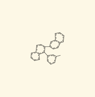 Cc1cccc(-c2c(-c3ccc4ccccc4c3)ccc3ccccc23)c1